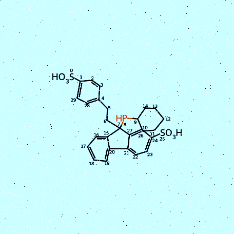 O=S(=O)(O)c1ccc(CCC2(PC3CCCCC3)c3ccccc3-c3ccc(S(=O)(=O)O)cc32)cc1